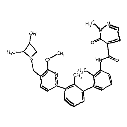 COc1nc(-c2cccc(-c3cccc(NC(=O)c4ccnn(C)c4=O)c3C)c2C)ccc1CN1CC(O)C1C